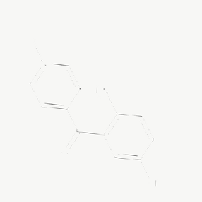 Nc1ccc(Cl)cc1C(=O)c1cc[n+]([O-])cc1